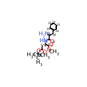 COC(=O)[C@H](CC(=O)OC(C)(C)C)NC(=O)[C@@H](N)Cc1ccccc1